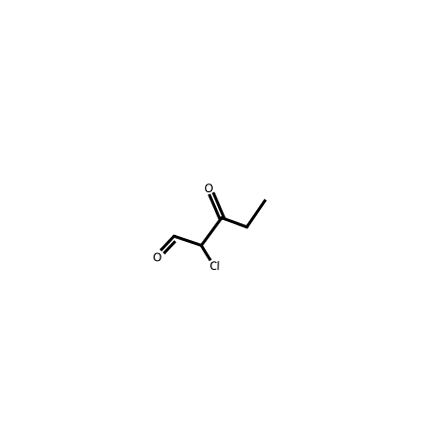 CCC(=O)C(Cl)C=O